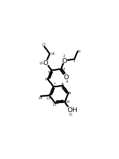 CCOC(=O)/C(=C\c1ccc(O)cc1C)OCC